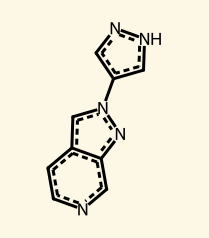 c1cc2cn(-c3cn[nH]c3)nc2cn1